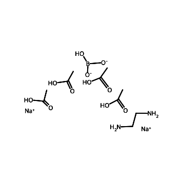 CC(=O)O.CC(=O)O.CC(=O)O.CC(=O)O.NCCN.[Na+].[Na+].[O-]B([O-])O